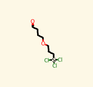 O=CCCCOCCC[Si](Cl)(Cl)Cl